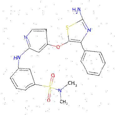 CN(C)S(=O)(=O)c1cccc(Nc2cc(Oc3sc(N)nc3-c3ccccc3)ccn2)c1